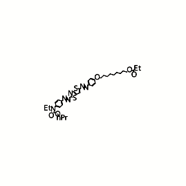 CCCOC(=O)N(CC)c1ccc(N=Nc2nc3sc(N=Nc4ccc(OCCCCCCCCCOC(=O)CC)cc4)cc3s2)cc1